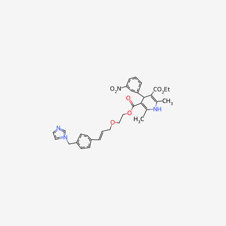 CCOC(=O)C1=C(C)NC(C)=C(C(=O)OCCOCC=Cc2ccc(Cn3ccnc3)cc2)C1c1cccc([N+](=O)[O-])c1